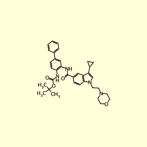 CC(C)(C)OC(=O)Nc1ccc(-c2ccccc2)cc1NC(=O)c1ccc2c(c1)c(C1CC1)cn2CCN1CCOCC1